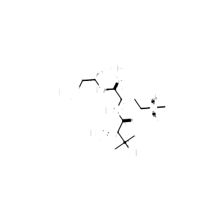 CC(C)(Cl)[C@H](N)C(=O)N[C@@H](CCS(C)(=O)=O)C(=O)N[C@@H](CC(=O)O)C(=O)O